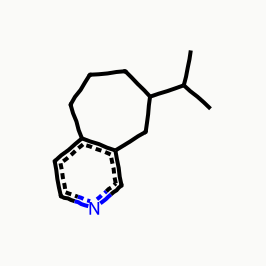 CC(C)C1CCCc2ccncc2C1